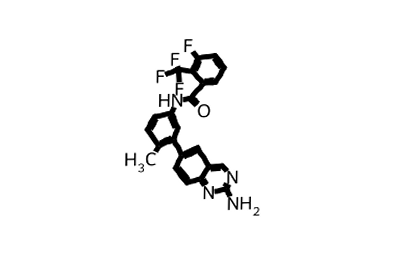 Cc1ccc(NC(=O)c2cccc(F)c2C(F)(F)F)cc1-c1ccc2nc(N)ncc2c1